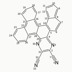 N#Cc1nc2c3ccc4ccccc4c3c3c4ccccc4c4ccccc4c3c2nc1C#N